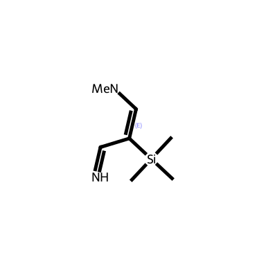 CN/C=C(\C=N)[Si](C)(C)C